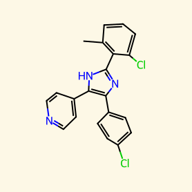 Cc1cccc(Cl)c1-c1nc(-c2ccc(Cl)cc2)c(-c2ccncc2)[nH]1